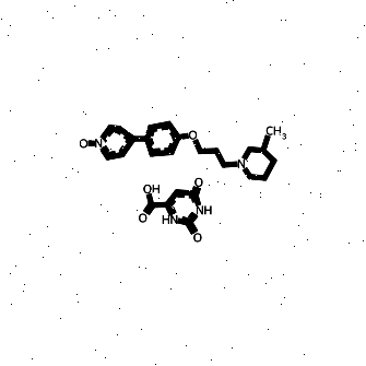 CC1CCCN(CCCOc2ccc(-c3cc[n+]([O-])cc3)cc2)C1.O=C(O)c1cc(=O)[nH]c(=O)[nH]1